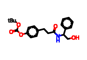 CC(C)(C)OC(=O)Oc1ccc(CCC(=O)NC(CO)c2ccccc2)cc1